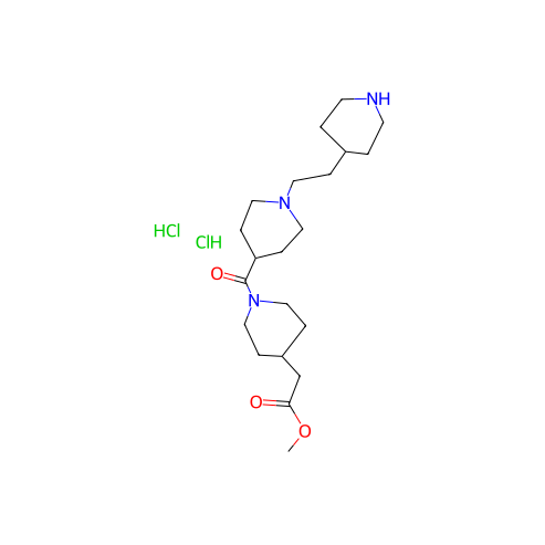 COC(=O)CC1CCN(C(=O)C2CCN(CCC3CCNCC3)CC2)CC1.Cl.Cl